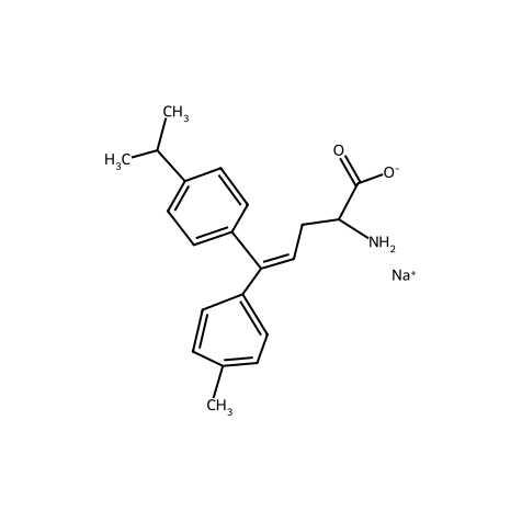 Cc1ccc(C(=CCC(N)C(=O)[O-])c2ccc(C(C)C)cc2)cc1.[Na+]